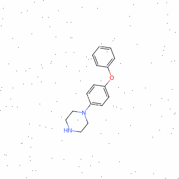 c1ccc(Oc2ccc(N3CCNCC3)cc2)cc1